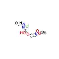 CC(C)(C)OC(=O)N1CCc2ccc(OC[C@@H](O)CCn3cc([N+](=O)[O-])nc3Cl)cc2C1